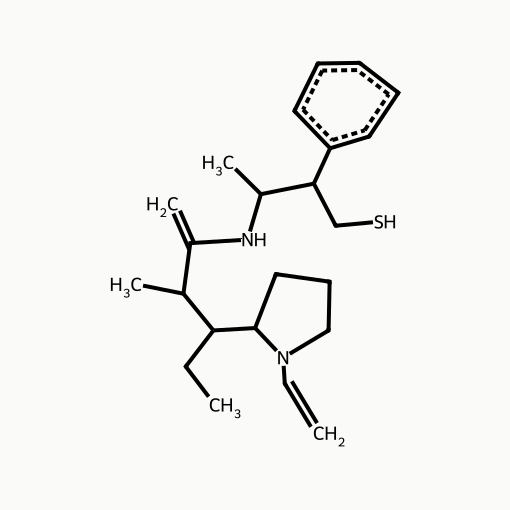 C=CN1CCCC1C(CC)C(C)C(=C)NC(C)C(CS)c1ccccc1